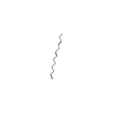 [CH]=CCCCCC=CCC=CCC